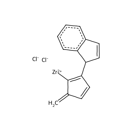 C=C1C=CC(C2C=Cc3ccccc32)=[C]1[Zr+2].[Cl-].[Cl-]